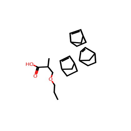 C1=CC2CCC1C2.C1=CC2CCC1C2.C1=CC2CCC1C2.CCCOCC(C)C(=O)O